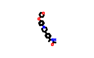 CC(=O)NC(C)c1ccc(C2CCN(c3ccc(OC4CCOCC4)cc3)CC2)cc1